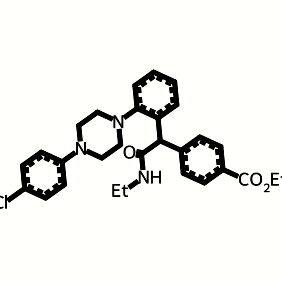 CCNC(=O)C(c1ccc(C(=O)OCC)cc1)c1ccccc1N1CCN(c2ccc(Cl)cc2)CC1